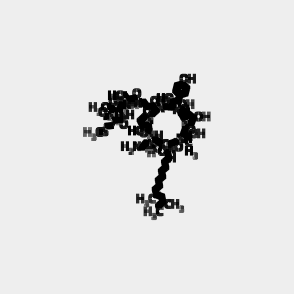 CC[C@H](C)C[C@H](C)CCCCCCCCC(=O)N[C@H]1C[C@@H](O)[C@@H](NCCN)NC(=O)[C@@H]2[C@@H](O)CCN2C(=O)[C@H]([C@H](O)CCNC(=O)[C@H](CO)NC(=O)[C@H](CC(C)C)NC(=O)[C@H](CCSC)NC=O)NC(=O)[C@H]([C@H](O)[C@@H](O)c2ccc(O)cc2)NC(=O)[C@@H]2C[C@@H](O)CN2C(=O)[C@H]([C@@H](C)O)NC1=O